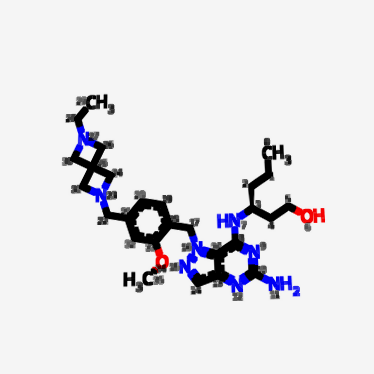 CCC[C@@H](CCO)Nc1nc(N)nc2cnn(Cc3ccc(CN4CC5(CN(CC)C5)C4)cc3OC)c12